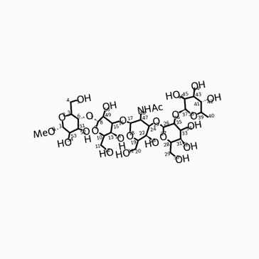 CO[C@@H]1OC(CO)[C@H](O[C@H]2OC(CO)[C@H](O)C(O[C@@H]3OC(CO)[C@H](O)C(O[C@@H]4OC(CO)[C@H](O)C(O)C4O[C@@H]4OC(C)[C@@H](O)C(O)C4O)C3NC(C)=O)C2O)C(O)C1O